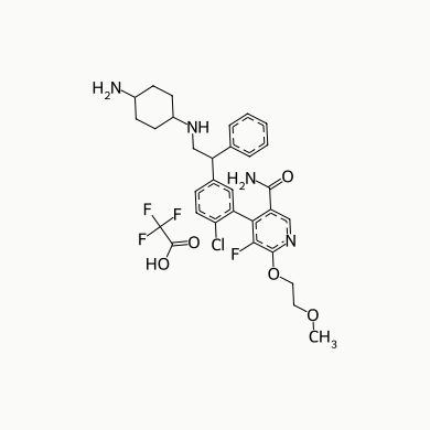 COCCOc1ncc(C(N)=O)c(-c2cc(C(CNC3CCC(N)CC3)c3ccccc3)ccc2Cl)c1F.O=C(O)C(F)(F)F